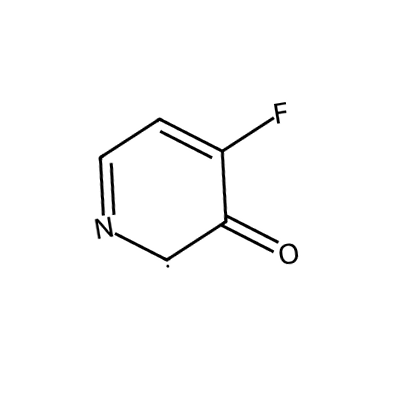 O=C1[CH]N=CC=C1F